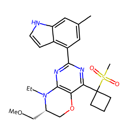 CCN1c2nc(-c3cc(C)cc4[nH]ccc34)nc(C3(S(C)(=O)=O)CCC3)c2OC[C@@H]1COC